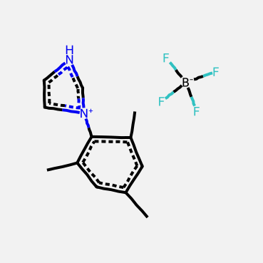 Cc1cc(C)c(-[n+]2cc[nH]c2)c(C)c1.F[B-](F)(F)F